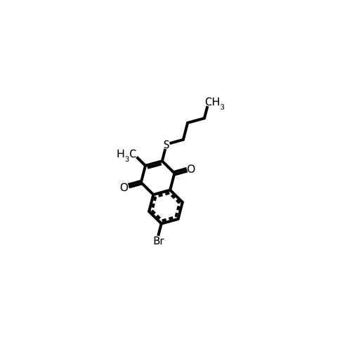 CCCCSC1=C(C)C(=O)c2cc(Br)ccc2C1=O